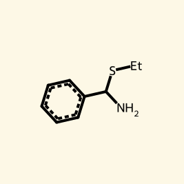 CCSC(N)c1ccccc1